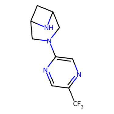 FC(F)(F)c1cnc(N2CC3CC(C2)N3)cn1